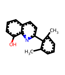 Cc1cccc(C)c1-c1ccc2cccc(O)c2n1